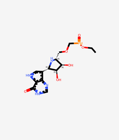 CCO[PH](=O)COC[C@H]1N[C@@H](c2c[nH]c3c(=O)[nH]cnc23)[C@H](O)[C@@H]1O